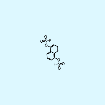 O=S(=O)(F)Oc1cccc2c(OS(=O)(=O)F)cccc12